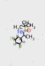 CC(N[S+]([O-])C(C)(C)C)c1cc(F)cc(F)c1